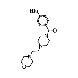 CC(C)(C)c1ccc(C(=O)N2CCN(CCN3CCOCC3)CC2)cc1